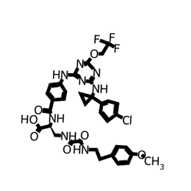 COc1ccc(CCNC(=O)C(=O)NC[C@H](NC(=O)c2ccc(Nc3nc(NC4(c5ccc(Cl)cc5)CC4)nc(OCC(F)(F)F)n3)cc2)C(=O)O)cc1